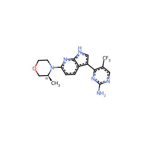 C[C@H]1COCCN1c1ccc2c(-c3nc(N)ncc3C(F)(F)F)c[nH]c2n1